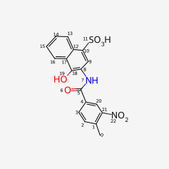 Cc1ccc(C(=O)Nc2cc(S(=O)(=O)O)c3ccccc3c2O)cc1[N+](=O)[O-]